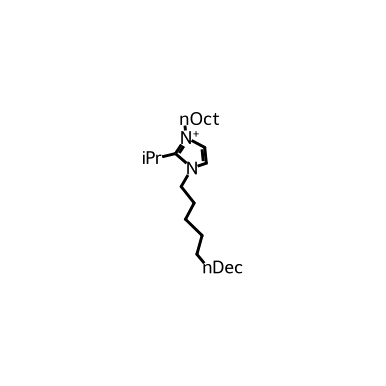 CCCCCCCCCCCCCCCn1cc[n+](CCCCCCCC)c1C(C)C